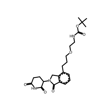 CC(C)(C)OC(=O)NCCOCCCc1cccc2c1CN(C1CCC(=O)NC1=O)C2=O